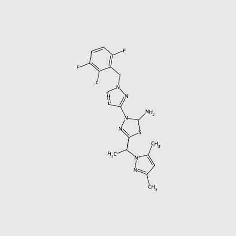 Cc1cc(C)n(C(C)C2=NN(c3ccn(Cc4c(F)ccc(F)c4F)n3)C(N)S2)n1